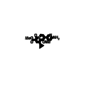 COC(=O)c1cc(C2CC2)c2c(OC)c(-c3ccc(N)nc3)ccn2c1=O